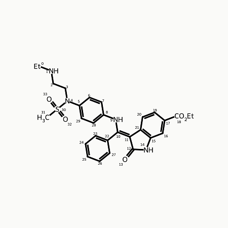 CCNCCN(c1ccc(NC(=C2C(=O)Nc3cc(C(=O)OCC)ccc32)c2ccccc2)cc1)S(C)(=O)=O